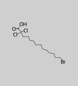 O=C(O)C(Cl)(Cl)CCCCCCCCCCCCBr